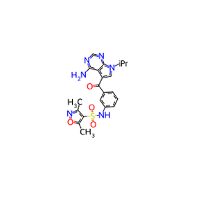 Cc1noc(C)c1S(=O)(=O)Nc1cccc(C(=O)c2cn(C(C)C)c3ncnc(N)c23)c1